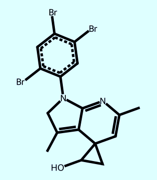 CC1=CC2(CC2O)C2=C(C)CN(c3cc(Br)c(Br)cc3Br)C2=N1